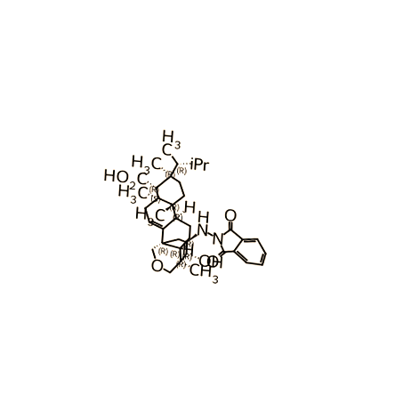 CC(C)[C@@H](C)[C@@]1(C)CC[C@]2(C)[C@H]3CC[C@@H]4[C@@]5(COC[C@]4(C)[C@@H](O)[C@H](NN4C(=O)c6ccccc6C4=O)C5)C3=CC[C@@]2(C)[C@@H]1C(=O)O